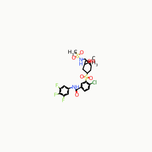 C[C@H]1CC2CC(S(=O)(=O)c3cc(C(=O)Nc4cc(F)c(F)c(F)c4)ccc3Cl)CC1[C@]2(O)CNS(C)(=O)=O